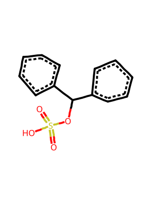 O=S(=O)(O)OC(c1ccccc1)c1ccccc1